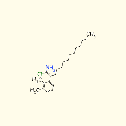 CCCCCCCCCCCCC(=C(N)Cl)c1cccc(C)c1C